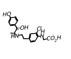 C[C@H](NCCc1ccc(NCC(=O)O)c(Cl)c1)[C@@H](O)c1ccc(O)cc1